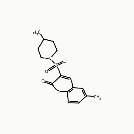 Cc1ccc2oc(=O)c(S(=O)(=O)N3CCC(C)CC3)cc2c1